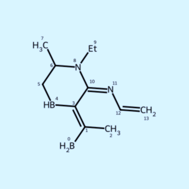 B/C(C)=C1\BCC(C)N(CC)\C1=N\C=C